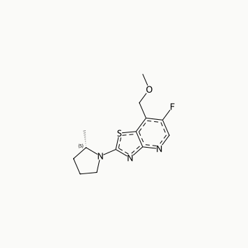 COCc1c(F)cnc2nc(N3CCC[C@@H]3C)sc12